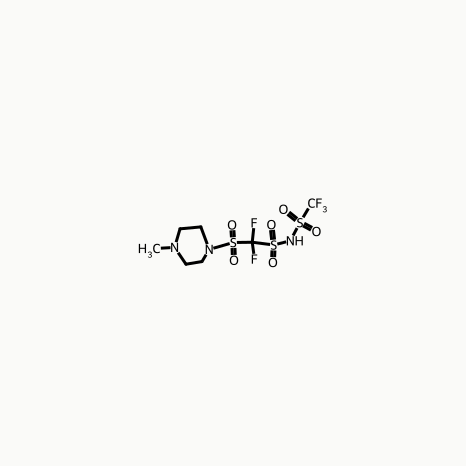 CN1CCN(S(=O)(=O)C(F)(F)S(=O)(=O)NS(=O)(=O)C(F)(F)F)CC1